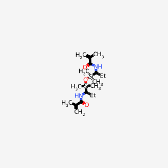 C=C(C)C(=O)NC(CC)[Si](C)(C)O[Si](C)(C)C(CC)NC(=O)C(=C)C